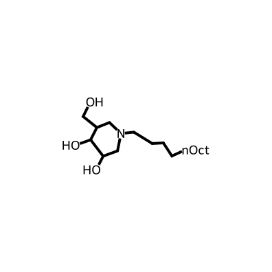 CCCCCCCCCCCCN1CC(O)C(O)C(CO)C1